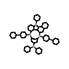 c1ccc(-c2ccc(N3c4cc(N(c5ccccc5)c5ccccc5)cc(c4)N(c4ccc(-c5ccccc5)cc4)c4cc5ccccc5c5c4c4c3cccc4n5-c3ccccc3)cc2)cc1